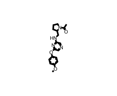 COc1ccc(Oc2cncc(NCC3CCCN3C(C)=O)n2)cc1